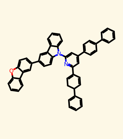 C1=CC(c2ccccc2)CC=C1c1cc(-c2ccc(-c3ccccc3)cc2)cc(-n2c3ccccc3c3cc(-c4ccc5oc6ccccc6c5c4)ccc32)n1